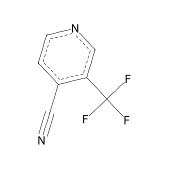 N#Cc1ccncc1C(F)(F)F